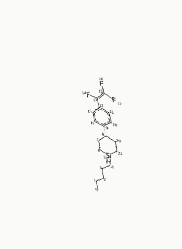 CCCCC[Si@H]1CC[C@H](c2ccc(C(F)=C(F)F)cc2)CC1